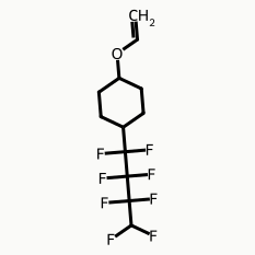 C=COC1CCC(C(F)(F)C(F)(F)C(F)(F)C(F)F)CC1